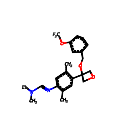 CCN(C)C=Nc1cc(C)c(C2(OCc3cccc(OC(F)(F)F)c3)COC2)cc1C